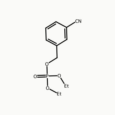 CCOP(=O)(OCC)OCc1cccc(C#N)c1